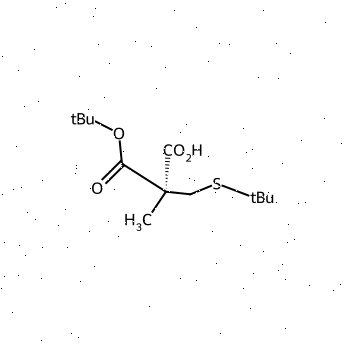 CC(C)(C)OC(=O)[C@](C)(CSC(C)(C)C)C(=O)O